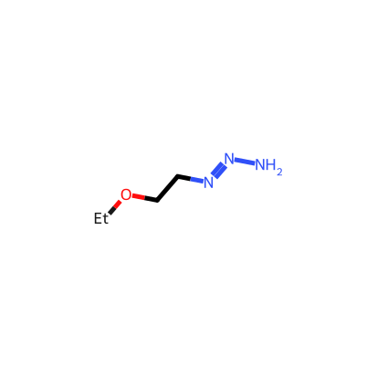 CCOCCN=NN